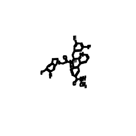 CNC(=O)c1cccc(-c2cccnc2[C@H](Cc2cc(F)cc(F)c2)NC(=O)Cn2ccc3cc(F)c(F)cc32)c1